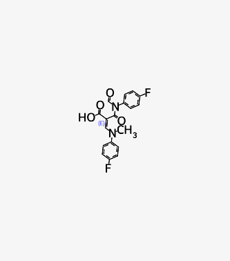 CN(/C=C(/C(=O)O)C(=O)N(C=O)c1ccc(F)cc1)c1ccc(F)cc1